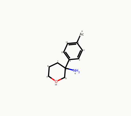 CC(=O)c1ccc(C2(N)CCCOC2)cc1